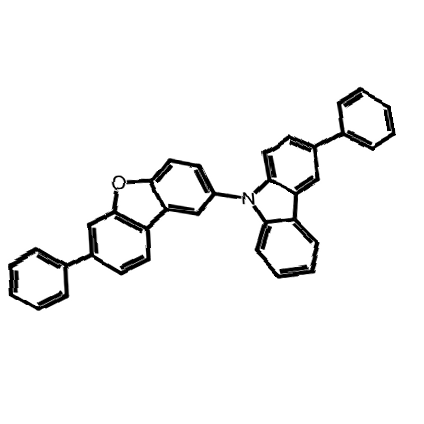 c1ccc(-c2ccc3c(c2)oc2ccc(-n4c5ccccc5c5cc(-c6ccccc6)ccc54)cc23)cc1